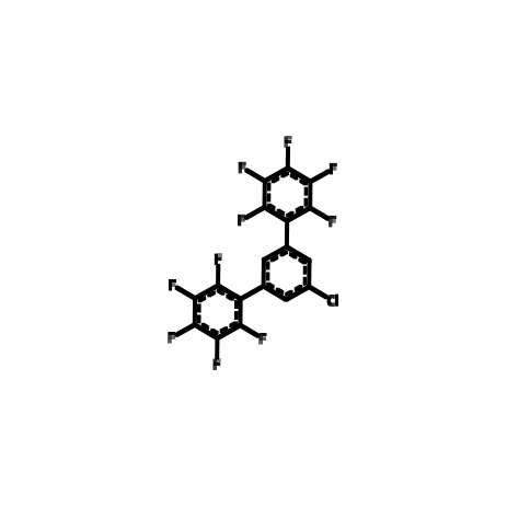 Fc1c(F)c(F)c(-c2cc(Cl)cc(-c3c(F)c(F)c(F)c(F)c3F)c2)c(F)c1F